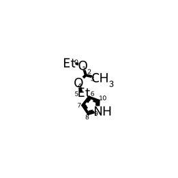 CCOC(C)OCC.c1cc[nH]c1